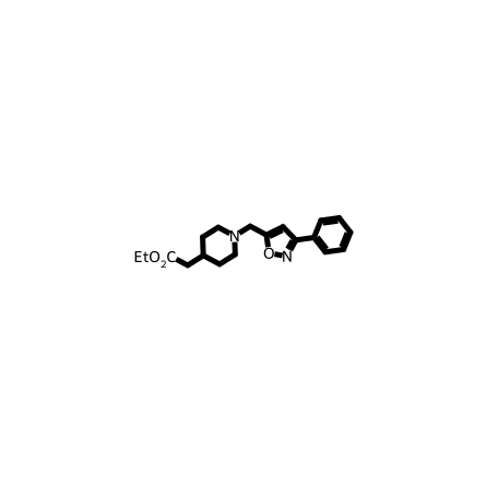 CCOC(=O)CC1CCN(Cc2cc(-c3ccccc3)no2)CC1